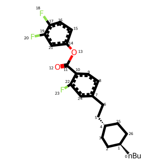 CCCC[C@H]1CC[C@H](CCc2ccc(C(=O)Oc3ccc(F)c(F)c3)c(F)c2)CC1